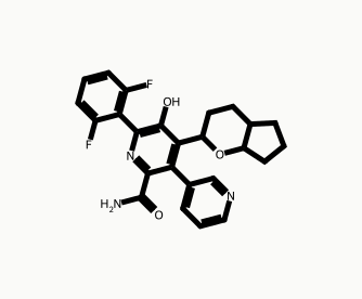 NC(=O)c1nc(-c2c(F)cccc2F)c(O)c(C2CCC3CCCC3O2)c1-c1cccnc1